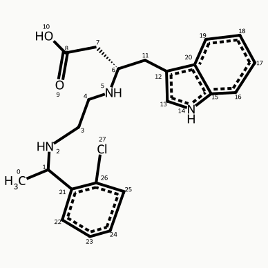 CC(NCCN[C@H](CC(=O)O)Cc1c[nH]c2ccccc12)c1ccccc1Cl